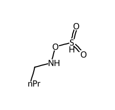 CCCCNO[SH](=O)=O